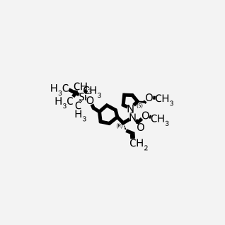 C=CC[C@H](C1CCC(CO[Si](C)(C)C(C)(C)C)CC1)N(C(=O)OC)N1CCC[C@H]1COC